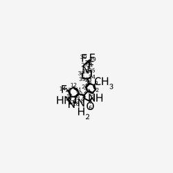 Cc1cc2[nH]c(=O)c(N)c(-c3ccc(F)c4[nH]ncc34)c2cc1C1CCN(CC(F)(F)F)CC1